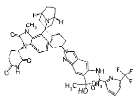 Cn1c(=O)n(C2CCC(=O)NC2=O)c2cccc(C3C[C@H]4CC[C@@H](C3)N4C[C@H]3CC[C@H](n4cc5cc(NC(=O)c6cccc(C(F)(F)F)n6)c(C(C)(C)O)cc5n4)CC3)c21